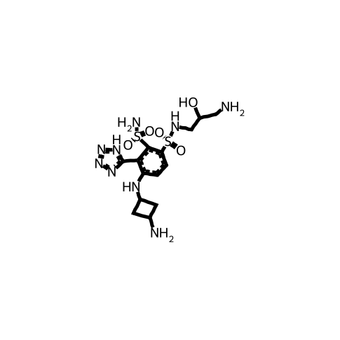 NCC(O)CNS(=O)(=O)c1ccc(NC2CC(N)C2)c(-c2nnn[nH]2)c1S(N)(=O)=O